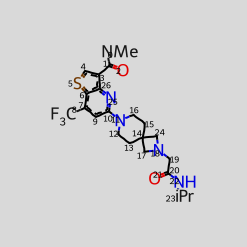 CNC(=O)c1csc2c(C(F)(F)F)cc(N3CCC4(CC3)CN(CC(=O)NC(C)C)C4)nc12